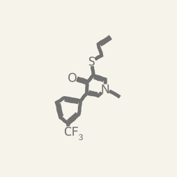 C=CCSc1cn(C)cc(-c2cccc(C(F)(F)F)c2)c1=O